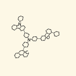 c1ccc(-c2cccc3c2oc2ccc(-c4ccc(N(c5ccc(-c6ccc7c(c6)c6ccccc6n7-c6ccccc6)cc5)c5ccc(-c6cc7ccccc7c7ccccc67)cc5)cc4)cc23)cc1